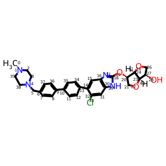 CN1CCN(Cc2ccc(-c3ccc(-c4cc5nc(O[C@@H]6CO[C@H]7[C@@H]6OC[C@H]7O)[nH]c5cc4Cl)cc3)cc2)CC1